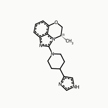 C[C@H]1COc2cccc3nc(N4CCC(c5c[nH]cn5)CC4)n1c23